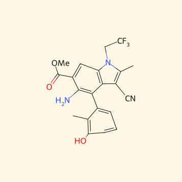 COC(=O)c1cc2c(c(C#N)c(C)n2CC(F)(F)F)c(-c2cccc(O)c2C)c1N